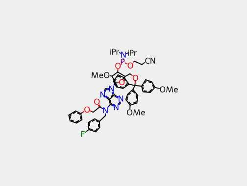 COc1ccc(C(OCC2OC(n3cnc4c(N(Cc5ccc(F)cc5)C(=O)COc5ccccc5)ncnc43)C(OC)C2OP(OCCC#N)N(C(C)C)C(C)C)(c2ccccc2)c2ccc(OC)cc2)cc1